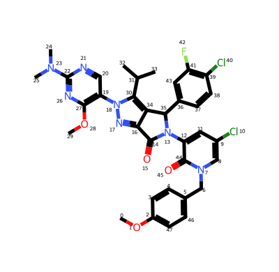 COc1ccc(Cn2cc(Cl)cc(N3C(=O)c4nn(-c5cnc(N(C)C)nc5OC)c(C(C)C)c4C3c3ccc(Cl)c(F)c3)c2=O)cc1